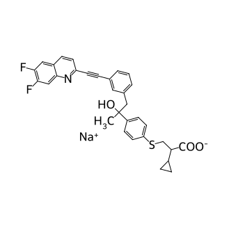 CC(O)(Cc1cccc(C#Cc2ccc3cc(F)c(F)cc3n2)c1)c1ccc(SCC(C(=O)[O-])C2CC2)cc1.[Na+]